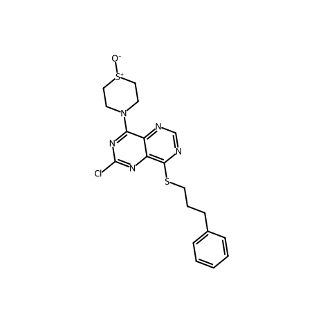 [O-][S+]1CCN(c2nc(Cl)nc3c(SCCCc4ccccc4)ncnc23)CC1